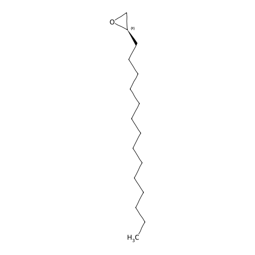 CCCCCCCCCCCCCC[C@@H]1CO1